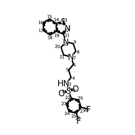 O=S(=O)(NCCCN1CCN(c2nsc3ccccc23)CC1)c1ccc(F)c(F)c1